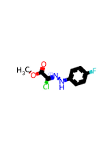 COC(=O)/C(Cl)=N/Nc1ccc(F)cc1